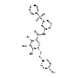 CC(C)(C)c1ccc(CCc2cc(C(=O)Nc3cccc(S(=O)(=O)c4ccccc4)c3)c(O)c(O)c2O)cc1